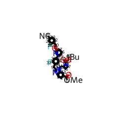 COC(=O)c1ccc2nc(Cc3ccc(-c4cccc(OCc5ccc(C#N)cc5F)n4)cc3F)n(C[C@@H]3CCN3C(=O)OC(C)(C)C)c2c1